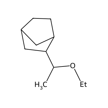 CCOC(C)C1CC2CCC1C2